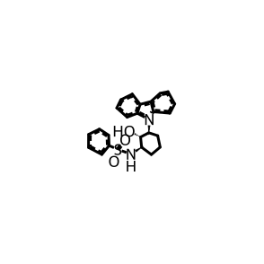 O=S(=O)(N[C@@H]1CCC[C@H](n2c3ccccc3c3ccccc32)[C@H]1O)c1ccccc1